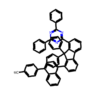 N#Cc1ccc(-c2ccc(-c3cccc4c3C(c3ccccc3)(c3ccccc3)c3c(-c5nc(-c6ccccc6)nc(-c6ccccc6)n5)cccc3-4)c3ccccc23)cc1